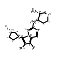 N#Cc1c(F)c2cnc(N[C@@H]3CCOC[C@H]3O)nn2c1[C@H]1CC[C@H](F)C1